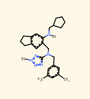 CCN(CC1CCCC1)c1cc2c(cc1CN(Cc1cc(C(F)(F)F)cc(C(F)(F)F)c1)c1nnn(CC)n1)CCC2